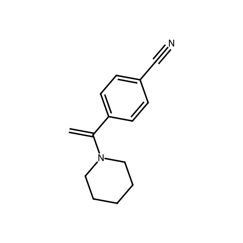 C=C(c1ccc(C#N)cc1)N1CCCCC1